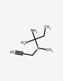 C#CCN(C)C(N)(N)CC